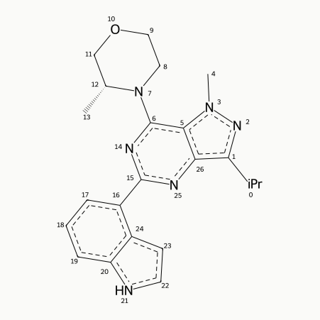 CC(C)c1nn(C)c2c(N3CCOC[C@H]3C)nc(-c3cccc4[nH]ccc34)nc12